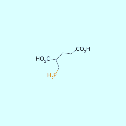 O=C(O)CCC(CP)C(=O)O